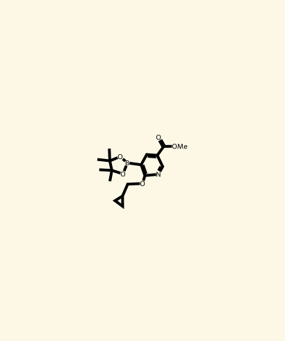 COC(=O)c1cnc(OCC2CC2)c(B2OC(C)(C)C(C)(C)O2)c1